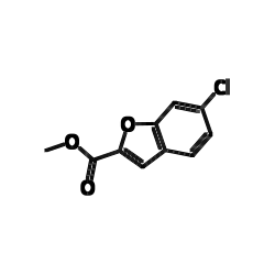 COC(=O)c1cc2ccc(Cl)cc2o1